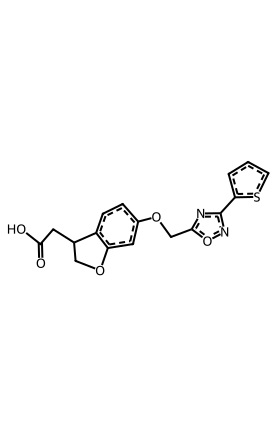 O=C(O)CC1COc2cc(OCc3nc(-c4cccs4)no3)ccc21